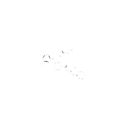 CCNC(=O)COC(c1cccc(Cl)c1F)[C@@H]1CCCN(C(=O)N[C@H](CNC)CC2CCCCC2)C1